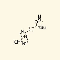 C[SiH](C)OC(C1CC(c2ncc3c(Cl)nccn23)C1)C(C)(C)C